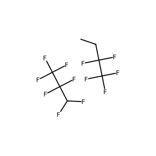 CCC(F)(F)C(F)(F)F.FC(F)C(F)(F)C(F)(F)F